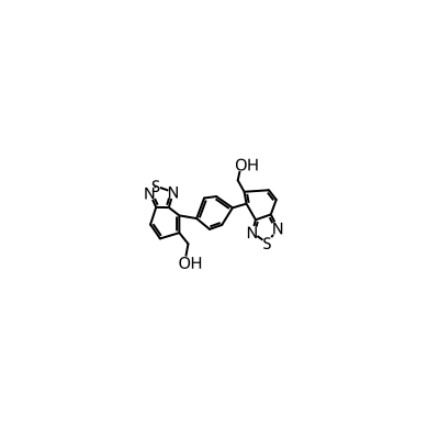 OCc1ccc2nsnc2c1-c1ccc(-c2c(CO)ccc3nsnc23)cc1